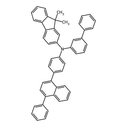 CC1(C)c2ccccc2-c2ccc(N(c3ccc(-c4ccc(-c5ccccc5)c5ccccc45)cc3)c3cccc(-c4ccccc4)c3)cc21